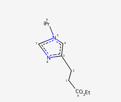 CCOC(=O)CCc1cn(C(C)C)cn1